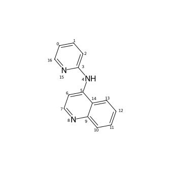 c1ccc(Nc2ccnc3ccccc23)nc1